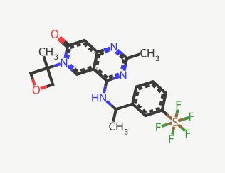 Cc1nc(NC(C)c2cccc(S(F)(F)(F)(F)F)c2)c2cn(C3(C)COC3)c(=O)cc2n1